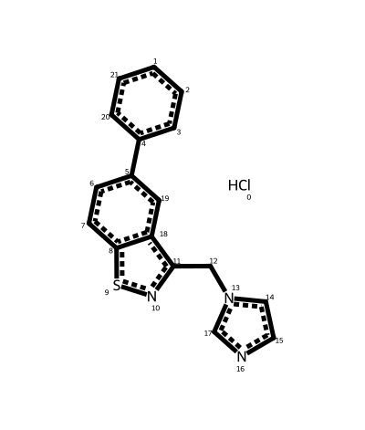 Cl.c1ccc(-c2ccc3snc(Cn4ccnc4)c3c2)cc1